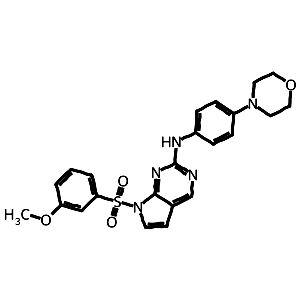 COc1cccc(S(=O)(=O)n2ccc3cnc(Nc4ccc(N5CCOCC5)cc4)nc32)c1